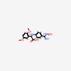 COc1ccc(OC)c(C(Nc2ccc(C(=N)NO)cc2)C(=O)O)c1